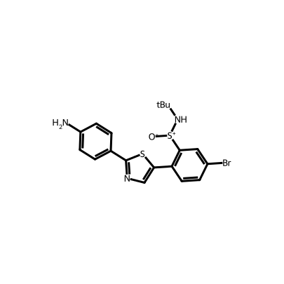 CC(C)(C)N[S+]([O-])c1cc(Br)ccc1-c1cnc(-c2ccc(N)cc2)s1